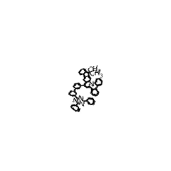 CC1(C)c2ccccc2-c2cc3c(-c4cccc(-c5cccc(-c6nc(-c7ccccc7)nc(-c7ccccc7)n6)c5)c4)cc(-c4ccccc4-c4ccccc4)nc3cc21